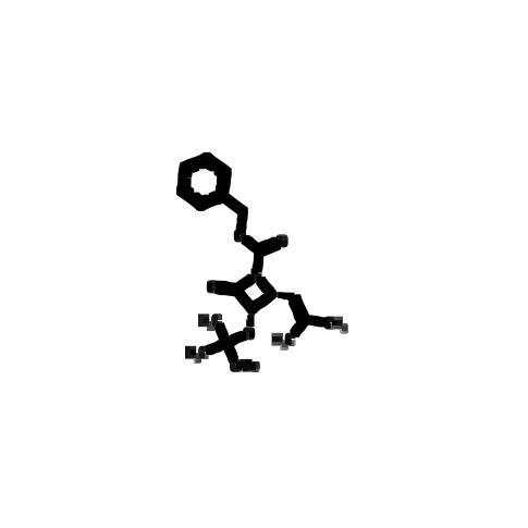 COC(C)(C)O[C@@H]1C(=O)N(C(=O)OCc2ccccc2)[C@@H]1C=C(C)C